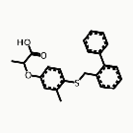 Cc1cc(OC(C)C(=O)O)ccc1SCc1ccccc1-c1ccccc1